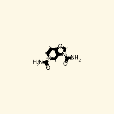 NC(=O)N1C=CC2=C(C1)N(C(N)=O)CO2